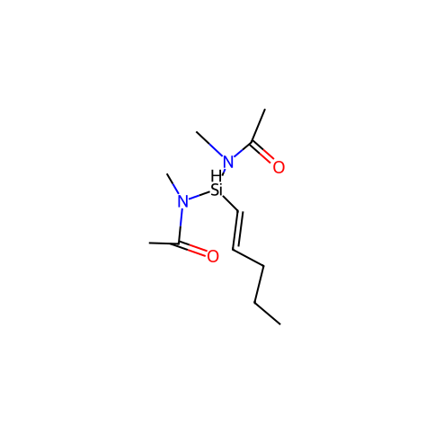 CCCC=C[SiH](N(C)C(C)=O)N(C)C(C)=O